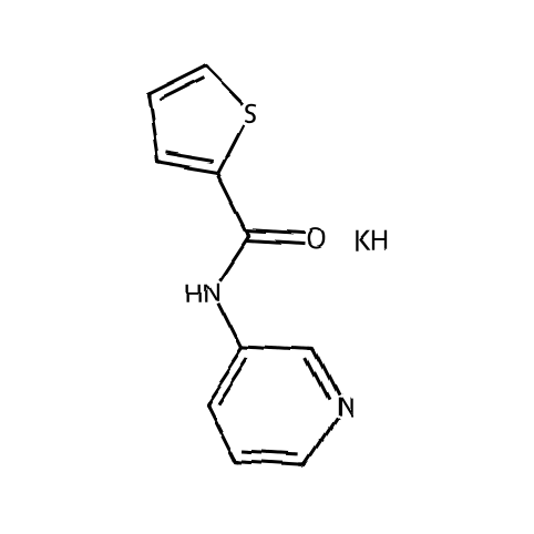 O=C(Nc1cccnc1)c1cccs1.[KH]